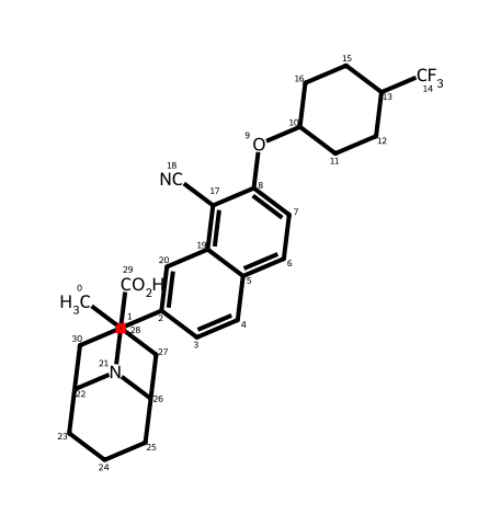 CC(c1ccc2ccc(OC3CCC(C(F)(F)F)CC3)c(C#N)c2c1)N1C2CCCC1CC(C(=O)O)C2